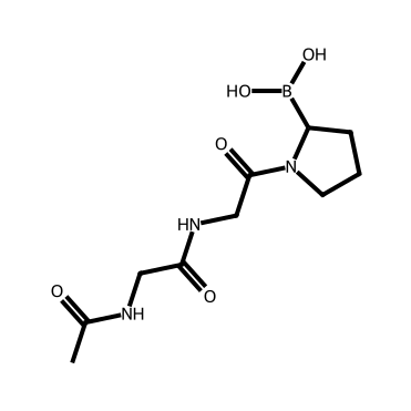 CC(=O)NCC(=O)NCC(=O)N1CCCC1B(O)O